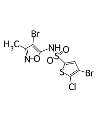 Cc1noc(NS(=O)(=O)c2cc(Br)c(Cl)s2)c1Br